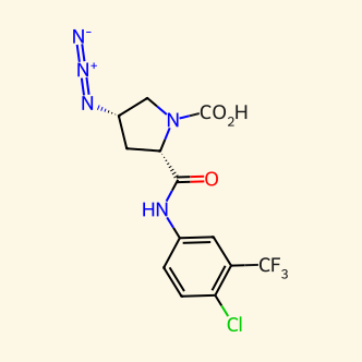 [N-]=[N+]=N[C@H]1C[C@@H](C(=O)Nc2ccc(Cl)c(C(F)(F)F)c2)N(C(=O)O)C1